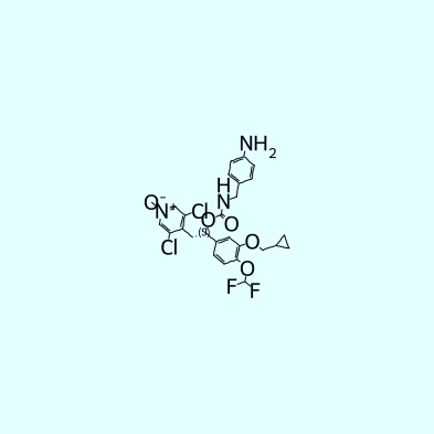 Nc1ccc(CNC(=O)O[C@@H](Cc2c(Cl)c[n+]([O-])cc2Cl)c2ccc(OC(F)F)c(OCC3CC3)c2)cc1